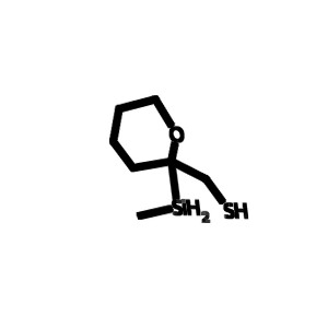 C[SiH2]C1(CS)CCCCO1